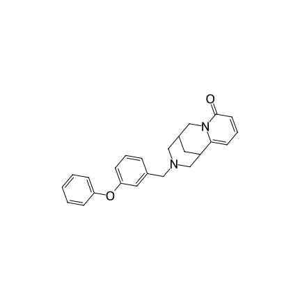 O=c1cccc2n1CC1CC2CN(Cc2cccc(Oc3ccccc3)c2)C1